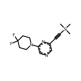 C[Si](C)(C)C#Cc1cncc(N2CCC(F)(F)CC2)n1